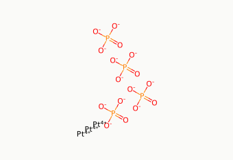 O=P([O-])([O-])[O-].O=P([O-])([O-])[O-].O=P([O-])([O-])[O-].O=P([O-])([O-])[O-].[Pt+4].[Pt+4].[Pt+4]